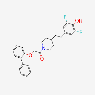 O=C(COc1ccccc1-c1ccccc1)N1CCC(CCc2cc(F)c(O)c(F)c2)CC1